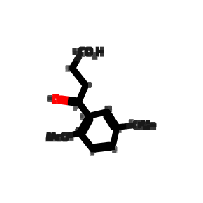 COc1ccc(OC)c(C(=O)CCC(=O)O)c1